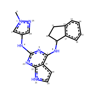 Cn1cc(Nc2nc(NC3CCc4ccccc43)c3cc[nH]c3n2)cn1